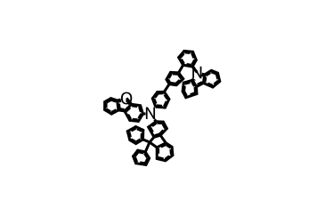 c1ccc(C2(c3ccccc3)c3ccccc3-c3ccc(N(c4ccc(-c5ccc(-c6ccccc6-n6c7ccccc7c7ccccc76)cc5)cc4)c4ccc5c(c4)oc4ccccc45)cc32)cc1